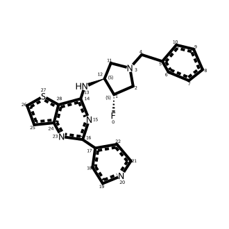 F[C@H]1CN(Cc2ccccc2)C[C@@H]1Nc1nc(-c2ccncc2)nc2ccsc12